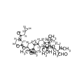 CC(C=O)N(C)CC1C[C@@H](C)[C@H]2C(O1)[C@H](O)[C@@]1(C)C3CC[C@H]4C(C)(C)C(O[C@H]5CN(C(=O)CC6CC6)CCO5)CCC45CC35CCC21C